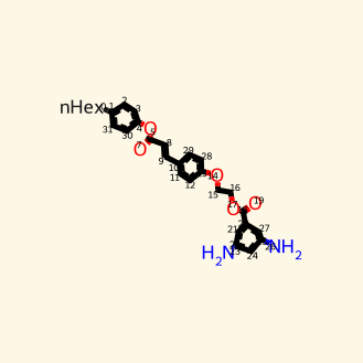 CCCCCCc1ccc(OC(=O)C=Cc2ccc(OCCOC(=O)c3cc(N)cc(N)c3)cc2)cc1